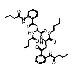 CCCCOC(=O)C(CC(=O)c1ccccc1NC(=O)CCC)NC(=O)C(CC(=O)c1ccccc1NC(=O)CCC)NC(=O)CCC